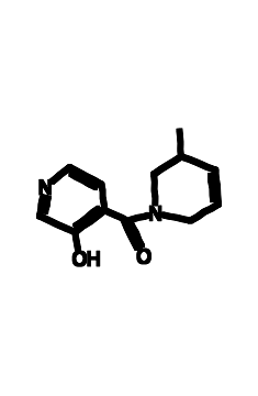 CC1C=CCN(C(=O)c2ccncc2O)C1